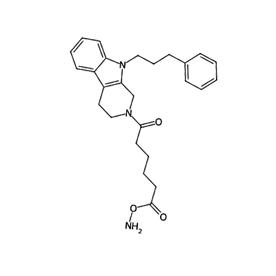 NOC(=O)CCCCC(=O)N1CCc2c(n(CCCc3ccccc3)c3ccccc23)C1